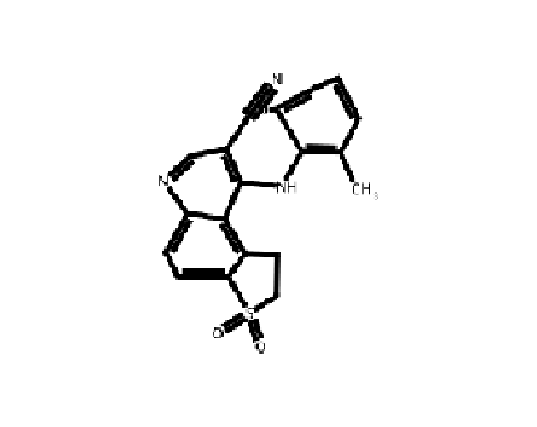 Cc1cccc(O)c1Nc1c(C#N)cnc2ccc3c(c12)CCS3(=O)=O